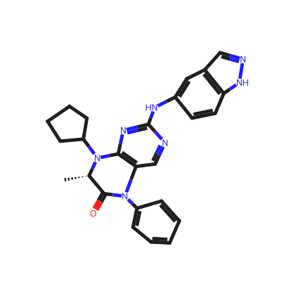 C[C@H]1C(=O)N(c2ccccc2)c2cnc(Nc3ccc4[nH]ncc4c3)nc2N1C1CCCC1